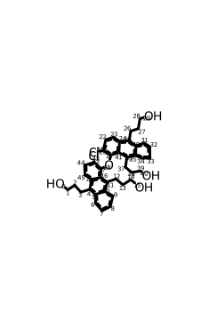 OCCCc1c2ccccc2c(CCCO)c2c(Oc3c(Cl)ccc4c(CCCO)c5ccccc5c(CCCO)c34)c(Cl)ccc12